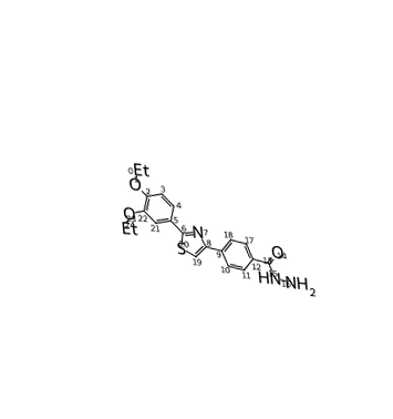 CCOc1ccc(-c2nc(-c3ccc(C(=O)NN)cc3)cs2)cc1OCC